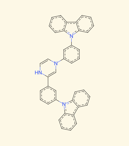 C1=CN(c2cccc(-n3c4ccccc4c4ccccc43)c2)C=C(c2cccc(-n3c4ccccc4c4ccccc43)c2)N1